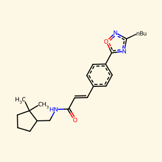 CCCCc1noc(-c2ccc(C=CC(=O)NCC3CCCC3(C)C)cc2)n1